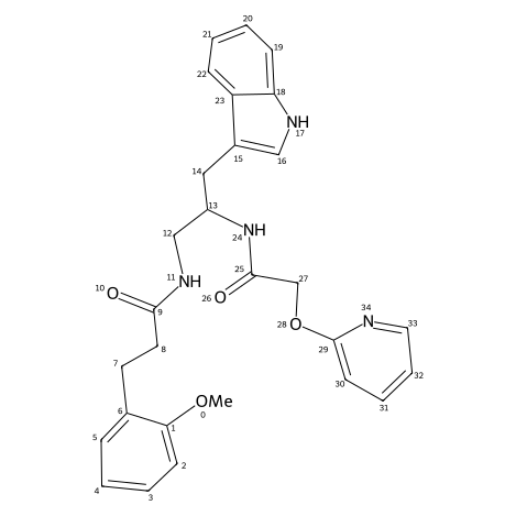 COc1ccccc1CCC(=O)NCC(Cc1c[nH]c2ccccc12)NC(=O)COc1ccccn1